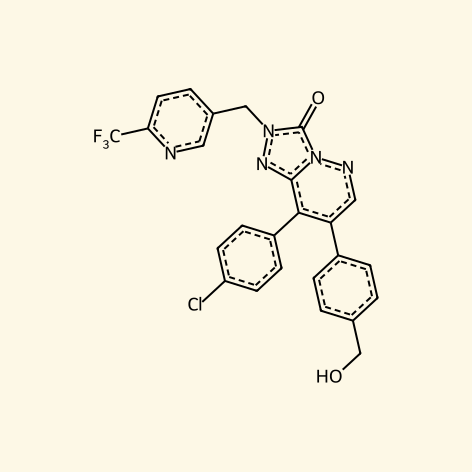 O=c1n(Cc2ccc(C(F)(F)F)nc2)nc2c(-c3ccc(Cl)cc3)c(-c3ccc(CO)cc3)cnn12